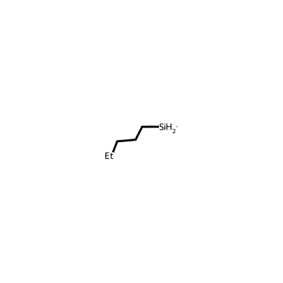 [CH2]CCCC[SiH2]